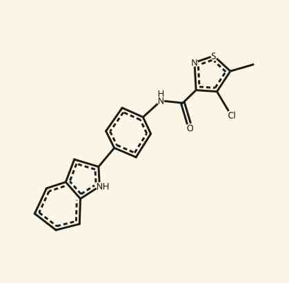 Cc1snc(C(=O)Nc2ccc(-c3cc4ccccc4[nH]3)cc2)c1Cl